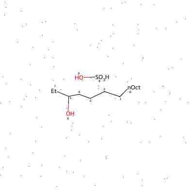 CCCCCCCCCCCCC(O)CC.O=S(=O)(O)O